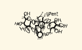 CCC[C@@H](C)[C@H]1CC[C@H]2C3[C@H](O[C@@H]4OC(CO)[C@@H](O)C(O)[C@@H]4O)C[C@@H]4CCCC[C@]4(C)[C@H]3C[C@H](O[C@@H]3OC(CO)[C@@H](O)C(O)C3O)[C@]12C